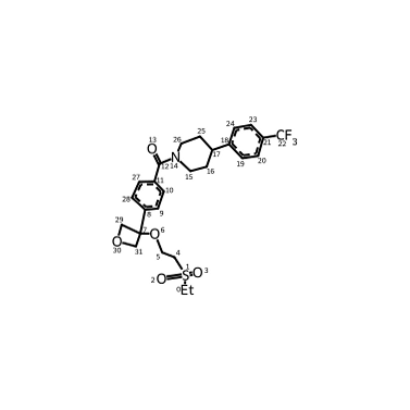 CCS(=O)(=O)CCOC1(c2ccc(C(=O)N3CCC(c4ccc(C(F)(F)F)cc4)CC3)cc2)COC1